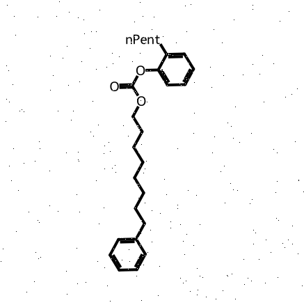 CCCCCc1ccccc1OC(=O)OCCCCCCCCc1ccccc1